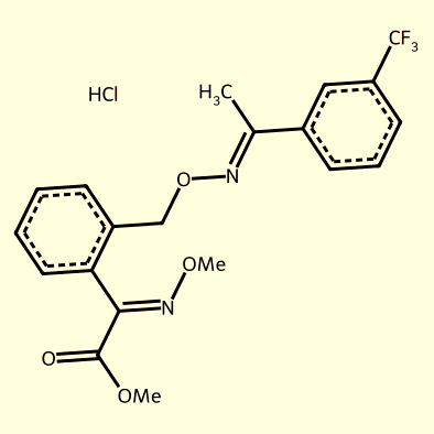 CO/N=C(/C(=O)OC)c1ccccc1CO/N=C(\C)c1cccc(C(F)(F)F)c1.Cl